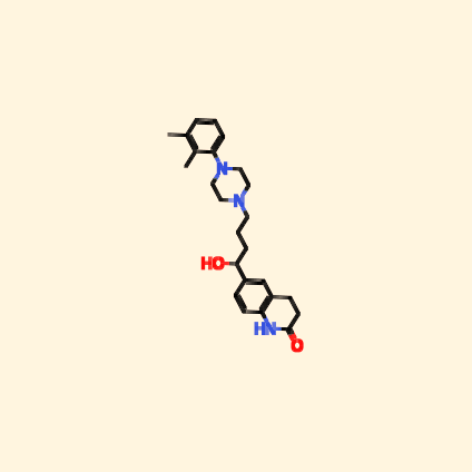 Cc1cccc(N2CCN(CCCC(O)c3ccc4c(c3)CCC(=O)N4)CC2)c1C